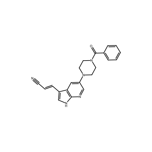 N#CC=Cc1c[nH]c2ncc(N3CCN(C(=O)c4ccccc4)CC3)cc12